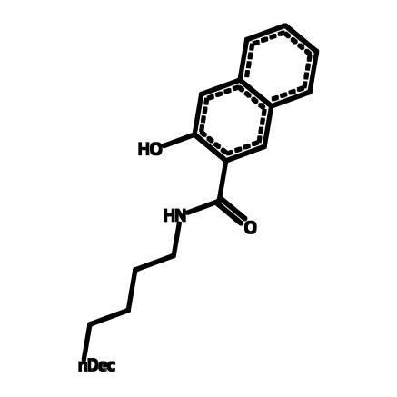 CCCCCCCCCCCCCCNC(=O)c1cc2ccccc2cc1O